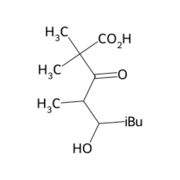 CCC(C)C(O)C(C)C(=O)C(C)(C)C(=O)O